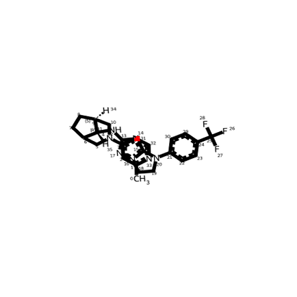 Cc1cc(N2CC3CC[C@@H](C2)[C@@H]3Nc2nc3n(n2)CCN3c2ccc(C(F)(F)F)cc2)ncn1